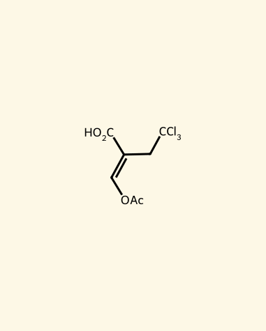 CC(=O)OC=C(CC(Cl)(Cl)Cl)C(=O)O